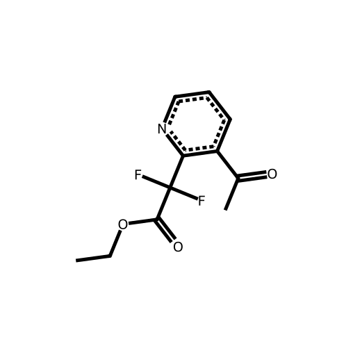 CCOC(=O)C(F)(F)c1ncccc1C(C)=O